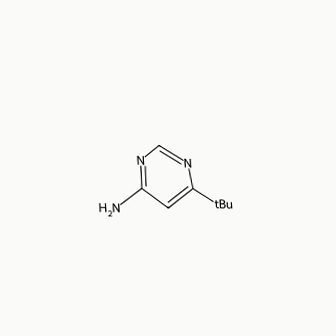 CC(C)(C)c1cc(N)ncn1